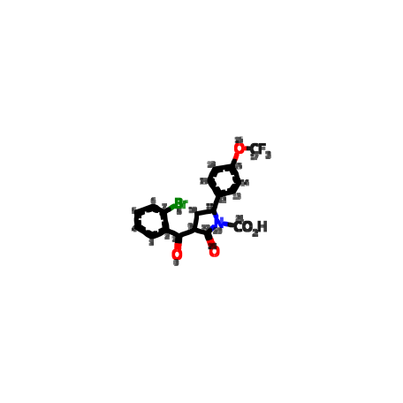 O=C(c1ccccc1Br)C1CC(c2ccc(OC(F)(F)F)cc2)N(C(=O)O)C1=O